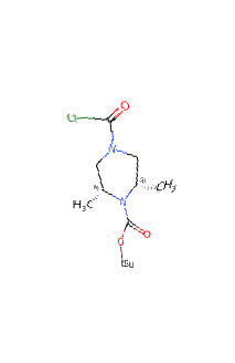 C[C@@H]1CN(C(=O)Cl)C[C@H](C)N1C(=O)OC(C)(C)C